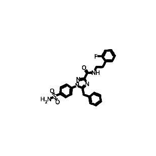 NS(=O)(=O)c1ccc(-n2nc(C(=O)NCCc3ccccc3F)nc2Cc2ccccc2)cc1